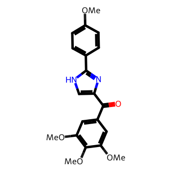 COc1ccc(-c2nc(C(=O)c3cc(OC)c(OC)c(OC)c3)c[nH]2)cc1